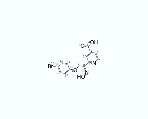 O=C(O)c1ccnc(/C(COc2ccc(Br)cc2)=N/O)c1